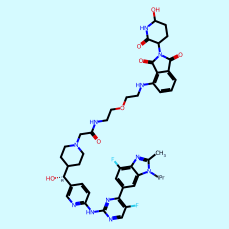 Cc1nc2c(F)cc(-c3nc(Nc4ccc([C@H](O)C5CCN(CC(=O)NCCOCCNc6cccc7c6C(=O)N(C6CCC(O)NC6=O)C7=O)CC5)cn4)ncc3F)cc2n1C(C)C